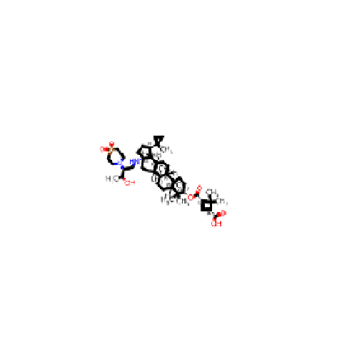 CC(O)C(CN[C@]12CC[C@@H](C3(C)CC3)[C@@H]1[C@H]1CC[C@@H]3[C@@]4(C)CC[C@H](OC(=O)[C@H]5C[C@@H](C(=O)O)C5(C)C)C(C)(C)[C@@H]4CC[C@@]3(C)[C@]1(C)CC2)N1CCS(=O)(=O)CC1